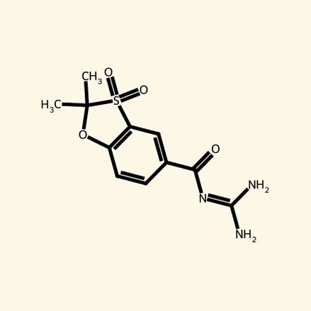 CC1(C)Oc2ccc(C(=O)N=C(N)N)cc2S1(=O)=O